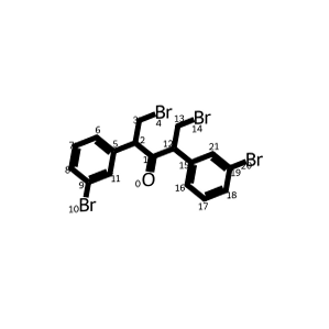 O=C(C(CBr)c1cccc(Br)c1)C(CBr)c1cccc(Br)c1